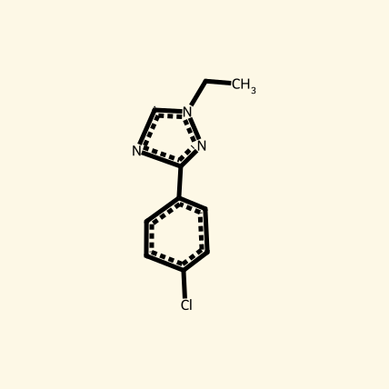 CCn1[c]nc(-c2ccc(Cl)cc2)n1